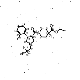 CCOC(=O)C1(F)CCN(C(=O)[C@H]2CN(CC(F)(F)F)C[C@H]2c2ccccc2Cl)CC1